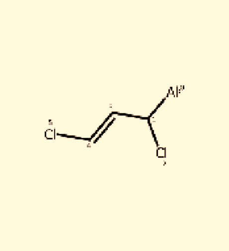 [Al][CH](Cl)C=CCl